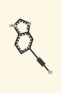 CCC#Cc1ccc2[nH]cnc2c1